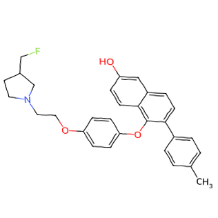 Cc1ccc(-c2ccc3cc(O)ccc3c2Oc2ccc(OCCN3CCC(CF)C3)cc2)cc1